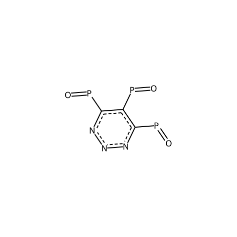 O=Pc1nnnc(P=O)c1P=O